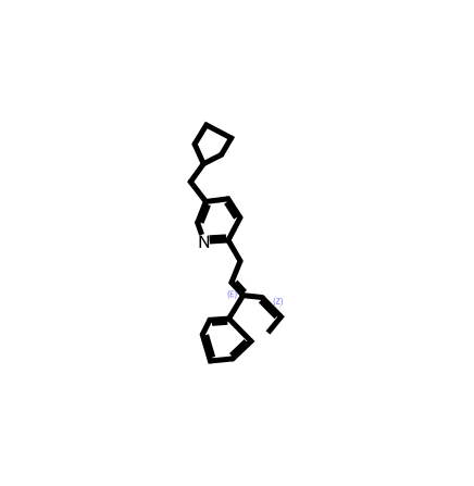 C/C=C\C(=C/Cc1ccc(CC2CCCC2)cn1)c1ccccc1